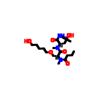 CCCC(=O)N(C)[C@H](COCCCCCO)C(=O)N(C)[C@@H](CC(C)(C)O)C(N)=O